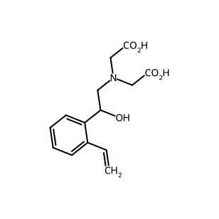 C=Cc1ccccc1C(O)CN(CC(=O)O)CC(=O)O